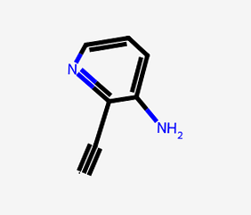 [C]#Cc1ncccc1N